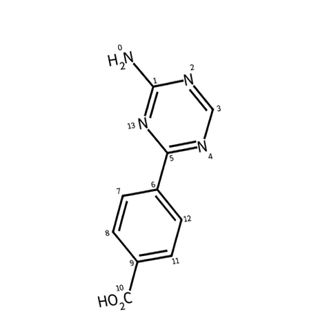 Nc1ncnc(-c2ccc(C(=O)O)cc2)n1